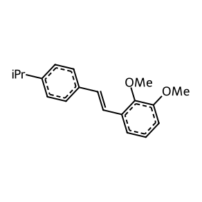 COc1cccc(C=Cc2ccc(C(C)C)cc2)c1OC